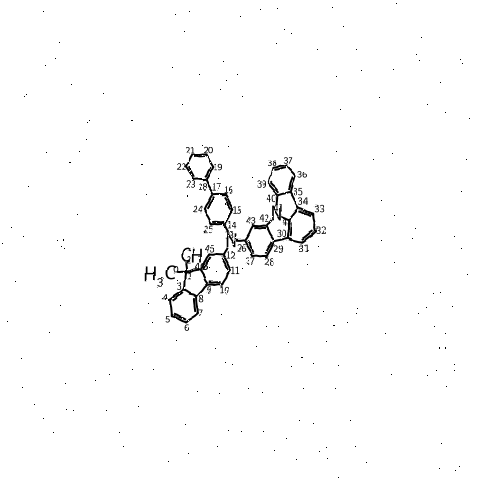 CC1(C)c2ccccc2-c2ccc(N(c3ccc(-c4ccccc4)cc3)c3ccc4c5cccc6c7ccccc7n(c4c3)c65)cc21